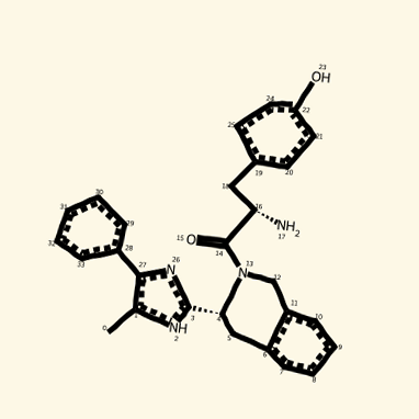 Cc1[nH]c([C@H]2Cc3ccccc3CN2C(=O)[C@@H](N)Cc2ccc(O)cc2)nc1-c1ccccc1